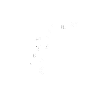 N#Cc1cc2cnc(Nc3cc4cc(N5CCNCC5)ccc4o3)nc2n(C2CCCC2)c1=O